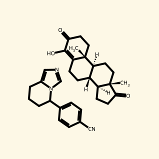 C[C@]12CCC(=O)C(O)=C1CC[C@@H]1[C@@H]2CC[C@]2(C)C(=O)CC[C@@H]12.N#Cc1ccc(C2CCCc3cncn32)cc1